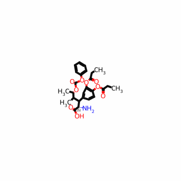 CCC(=O)Oc1ccc(C(C(C)C(C)OC(=O)Oc2ccccc2)[C@H](N)C(=O)O)cc1OC(=O)CC